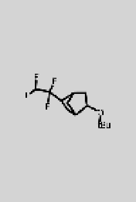 CC(C)(C)OC1CC2CC1CC2C(F)(F)C(F)F